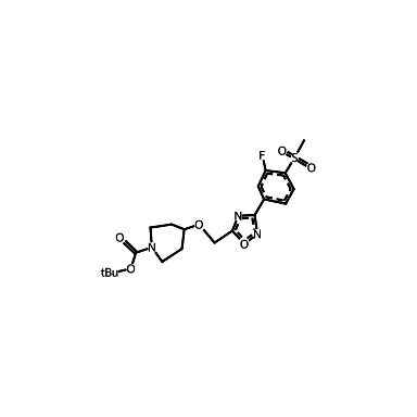 CC(C)(C)OC(=O)N1CCC(OCc2nc(-c3ccc(S(C)(=O)=O)c(F)c3)no2)CC1